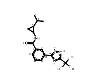 CC(C)C1CC1NC(=O)c1cccc(-c2noc(C(F)(F)F)n2)c1